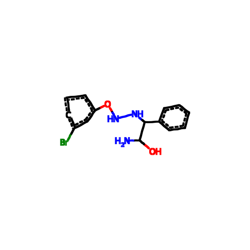 NC(O)C(NNOc1cccc(Br)c1)c1ccccc1